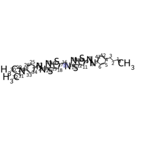 CCCCc1ccc(N=Nc2cc3sc(/N=C/c4cc5sc(N=Nc6ccc(N(CC)CC)cc6)nc5s4)nc3s2)cc1